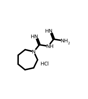 Cl.N=C(N)NC(=N)N1CCCCCC1